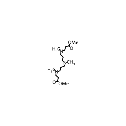 COC(=O)CCN(C)CCCN(C)CCCN(C)CCC(=O)OC